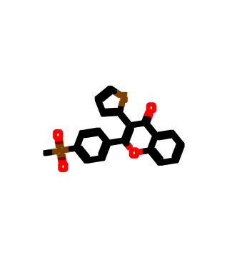 CS(=O)(=O)c1ccc(-c2oc3ccccc3c(=O)c2-c2cccs2)cc1